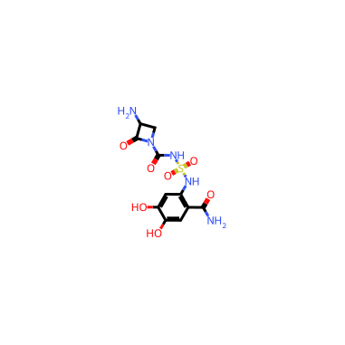 NC(=O)c1cc(O)c(O)cc1NS(=O)(=O)NC(=O)N1CC(N)C1=O